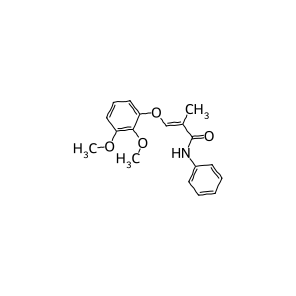 COc1cccc(O/C=C(\C)C(=O)Nc2ccccc2)c1OC